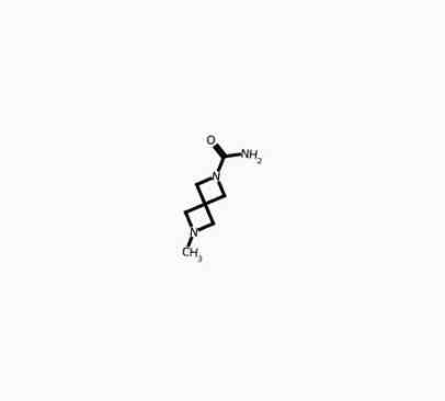 CN1CC2(C1)CN(C(N)=O)C2